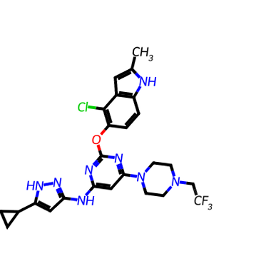 Cc1cc2c(Cl)c(Oc3nc(Nc4cc(C5CC5)[nH]n4)cc(N4CCN(CC(F)(F)F)CC4)n3)ccc2[nH]1